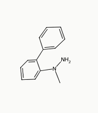 CN(N)c1ccccc1-c1ccccc1